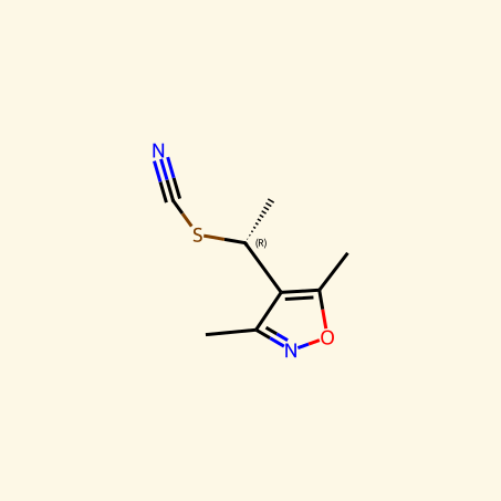 Cc1noc(C)c1[C@@H](C)SC#N